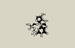 COP(=O)(O)CO[C@@]1(n2cnc3c(=O)[nH]c(N)nc32)OC[C@@H](O)[C@H]1O